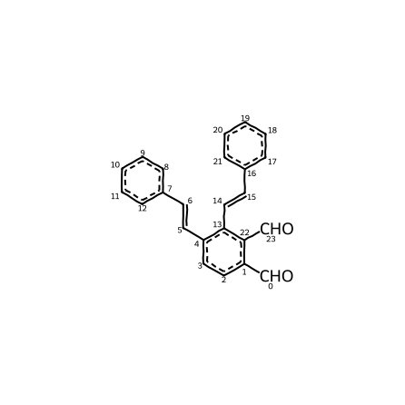 O=Cc1ccc(C=Cc2ccccc2)c(C=Cc2ccccc2)c1C=O